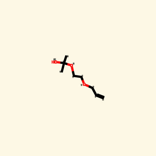 C=CCOCCOC(C)(C)O